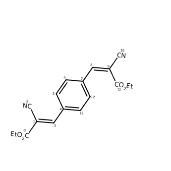 CCOC(=O)C(C#N)=Cc1ccc(C=C(C#N)C(=O)OCC)cc1